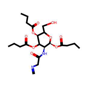 C=NCC(=O)N[C@H]1C(OC(=O)CCC)[C@@H](OC(=O)CCC)C(CO)O[C@H]1OC(=O)CCC